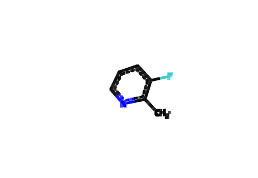 [CH2]c1ncccc1F